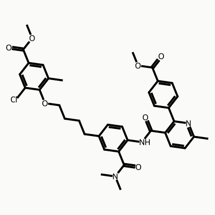 COC(=O)c1ccc(-c2nc(C)ccc2C(=O)Nc2ccc(CCCCOc3c(C)cc(C(=O)OC)cc3Cl)cc2C(=O)N(C)C)cc1